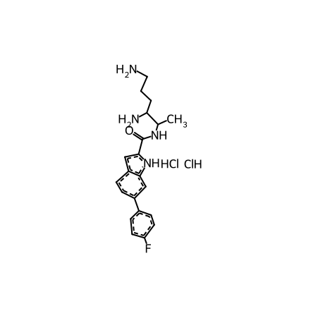 CC(NC(=O)c1cc2ccc(-c3ccc(F)cc3)cc2[nH]1)C(N)CCCN.Cl.Cl